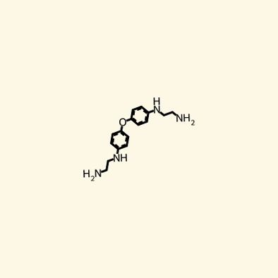 NCCNc1ccc(Oc2ccc(NCCN)cc2)cc1